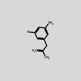 C=C(C)Cc1cc(F)cc(P)c1